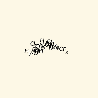 Cn1cc(C(=O)Nc2cc(Cl)cc(NS(C)(=O)=O)c2)cc1-c1ncc(N2CC(C(F)(F)F)C2)cn1